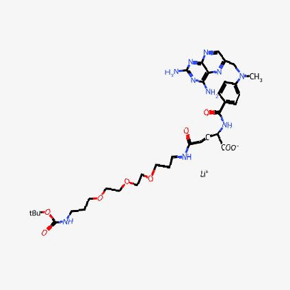 CN(Cc1cnc2nc(N)nc(N)c2n1)c1ccc(C(=O)NC(CCC(=O)NCCCOCCOCCOCCCNC(=O)OC(C)(C)C)C(=O)[O-])cc1.[Li+]